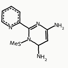 CSN1C(c2ccccn2)=NC(N)=CC1N